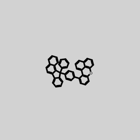 c1ccc(C2(c3ccc(-c4cccc5c4-c4cccc6cccc(c46)O5)cc3)c3ccccc3-c3ccc4ccccc4c32)cc1